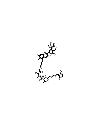 CC[C@@]1(O)C(=O)OCc2c1cc1n(c2=O)Cc2cc3c(CCCCOCNC(=O)[C@H](C)NC(=O)C(NC(=O)CCCCCN4C(=O)C=CC4=O)C(C)C)c(C)c(F)cc3nc2-1